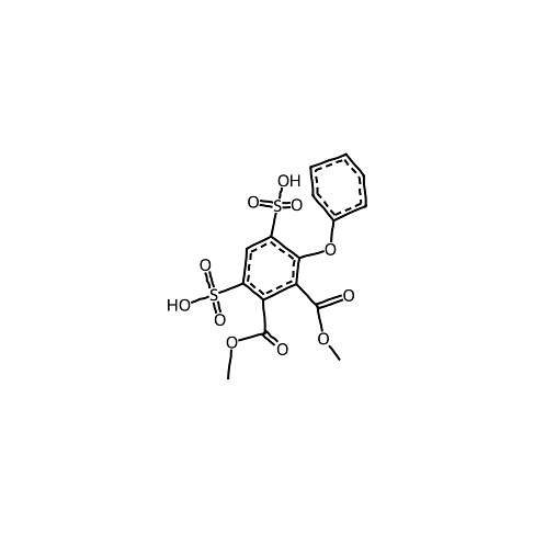 COC(=O)c1c(S(=O)(=O)O)cc(S(=O)(=O)O)c(Oc2ccccc2)c1C(=O)OC